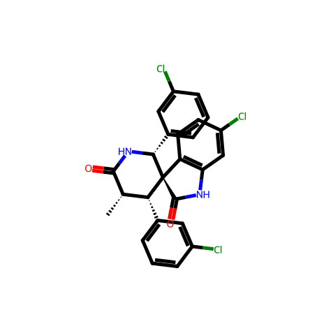 C[C@@H]1C(=O)N[C@H](c2cccc(Cl)c2)[C@@]2(C(=O)Nc3cc(Cl)ccc32)[C@@H]1c1cccc(Cl)c1